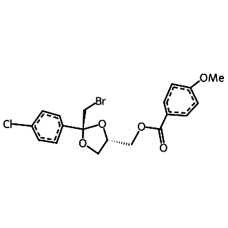 COc1ccc(C(=O)OC[C@@H]2CO[C@](CBr)(c3ccc(Cl)cc3)O2)cc1